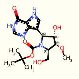 CO[C@H]1[C@@H](O)[C@H](c2c[nH]c3c(=O)[nH]cnc23)N(C(=O)OC(C)(C)C)[C@@H]1CO